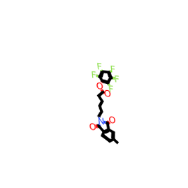 Cc1ccc2c(c1)C(=O)N(CCCCCC(=O)Oc1c(F)c(F)c(F)c(F)c1F)C2=O